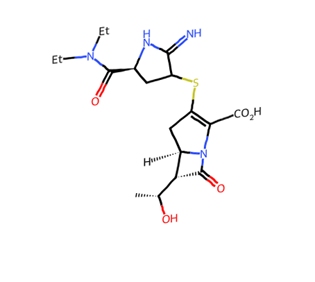 CCN(CC)C(=O)[C@@H]1CC(SC2=C(C(=O)O)N3C(=O)[C@H]([C@@H](C)O)[C@H]3C2)C(=N)N1